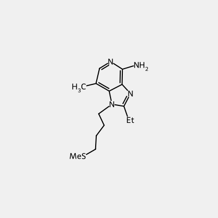 CCc1nc2c(N)ncc(C)c2n1CCCCSC